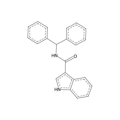 O=C(NC(c1ccccc1)c1ccccc1)c1c[nH]c2ccccc12